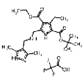 CCOC(=O)c1c(CNCc2c(C)n[nH]c2C)[nH]c(C(=O)OC(C)(C)C)c1CC.O=C(O)C(F)(F)F